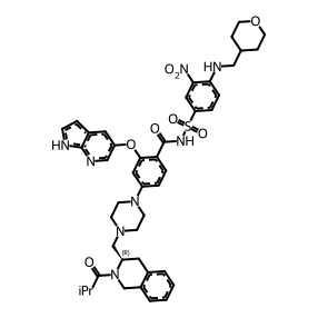 CC(C)C(=O)N1Cc2ccccc2C[C@@H]1CN1CCN(c2ccc(C(=O)NS(=O)(=O)c3ccc(NCC4CCOCC4)c([N+](=O)[O-])c3)c(Oc3cnc4[nH]ccc4c3)c2)CC1